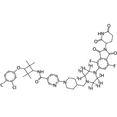 [2H]C1([2H])N(CC2CCN(c3ccc(C(=O)NC4C(C)(C)C(Oc5ccc(C#N)c(Cl)c5)C4(C)C)cn3)CC2)C([2H])([2H])C([2H])([2H])N(c2cc(F)c3c(c2F)C(=O)N(C2CCC(=O)NC2=O)C3=O)C1([2H])[2H]